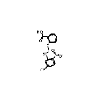 O=C(O)c1ccccc1OC[Se]c1cc(Cl)ccc1[N+](=O)[O-]